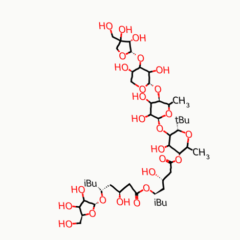 CC[C@H](C)[C@H](C[C@H](O)CC(=O)O[C@H]1C(C)O[C@@H](C(C)(C)C)C(O[C@@H]2OC(C)[C@H](O[C@@H]3OC[C@@H](O)C(O[C@@H]4OCC(O)(CO)[C@@H]4O)C3O)C(O)C2O)C1O)OC(=O)C[C@@H](O)C[C@H](O[C@@H]1O[C@@H](CO)C(O)C1O)[C@@H](C)CC